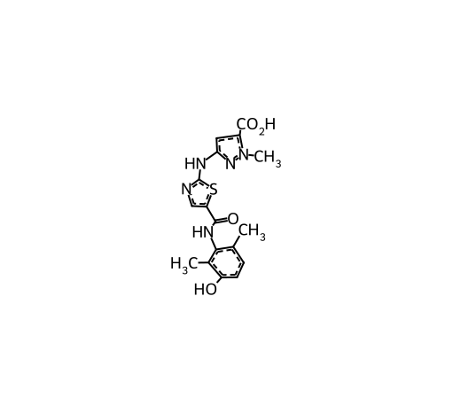 Cc1ccc(O)c(C)c1NC(=O)c1cnc(Nc2cc(C(=O)O)n(C)n2)s1